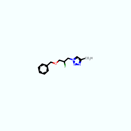 O=C(O)c1cn(CC(F)COCc2ccccc2)nn1